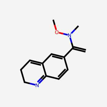 C=C(c1ccc2c(c1)=CCCN=2)N(C)OC